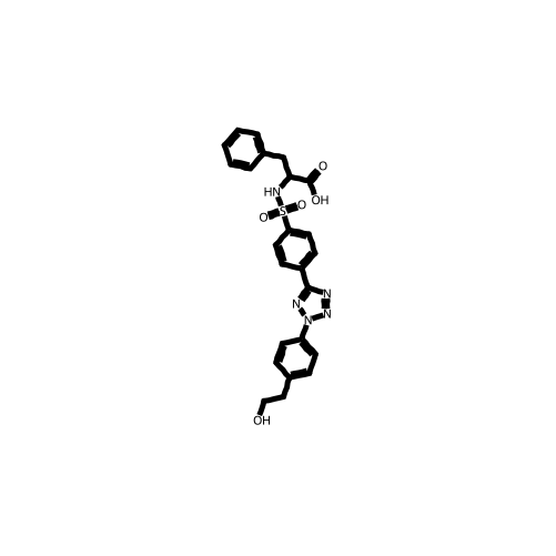 O=C(O)C(Cc1ccccc1)NS(=O)(=O)c1ccc(-c2nnn(-c3ccc(CCO)cc3)n2)cc1